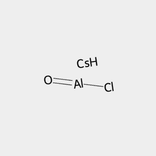 [CsH].[O]=[Al][Cl]